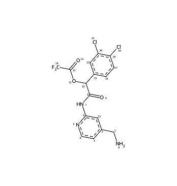 NCc1ccnc(NC(=O)C(OC(=O)C(F)(F)F)c2ccc(Cl)c(Cl)c2)c1